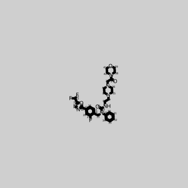 O=C(CN1CCN(CCNC(=O)N(Cc2ccc(-c3nnc(C(F)F)o3)cc2F)c2ccccc2)CC1)N1CCOCC1